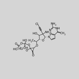 C=C1NC(N)=Nc2c1ccn2[C@@H]1O[C@H]([C@H](C)OC2C(=O)C2(O)OP(=O)(O)OP(=O)(O)O)C(O)C1(N)C#CCl